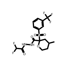 CC1CCOC(C(=O)NNC(=O)C(F)F)(S(=O)(=O)c2cccc(C(F)(F)F)c2)C1